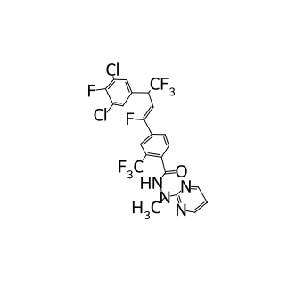 CN(NC(=O)c1ccc(C(F)=CC(c2cc(Cl)c(F)c(Cl)c2)C(F)(F)F)cc1C(F)(F)F)c1ncccn1